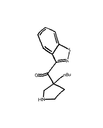 CCCCC1(C(=O)c2nsc3ccccc23)CCNC1